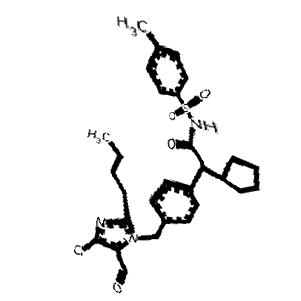 CCCCc1nc(Cl)c(C=O)n1Cc1ccc(C(C(=O)NS(=O)(=O)c2ccc(C)cc2)C2CCCC2)cc1